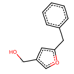 O[CH]c1coc(Cc2ccccc2)c1